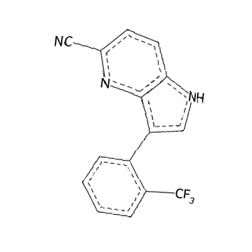 N#Cc1ccc2[nH]cc(-c3ccccc3C(F)(F)F)c2n1